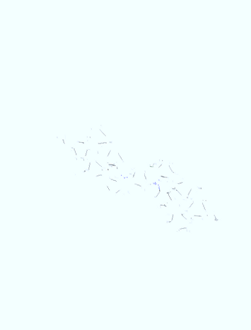 C=Cc1ccc(C2(c3cc(C)ccc3C)C3=C(C=CCC3)c3ccc(N(c4ccc(N(c5ccc6c(c5)C(c5ccc(C=C)cc5)(c5cc(C)ccc5C)c5ccccc5-6)c5ccccc5F)cc4)c4ccccc4F)cc32)cc1